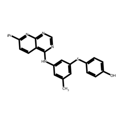 Cc1cc(Nc2ncnc3nc(C(C)C)ccc23)cc(Sc2ccc(O)cc2)c1